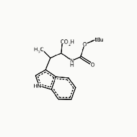 CC(c1c[nH]c2ccccc12)C(NC(=O)OC(C)(C)C)C(=O)O